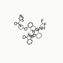 O=C(NCC(F)F)[C@H]1CCCC[C@H]1C(=O)N1CCc2cccc(O[C@H]3CCN(C(=O)c4cncs4)C3)c2[C@H]1CN1C(=O)c2ccccc2C1=O